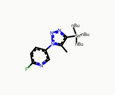 CCC[CH2][Sn]([CH2]CCC)([CH2]CCC)[c]1nnn(-c2ccc(F)nc2)c1C